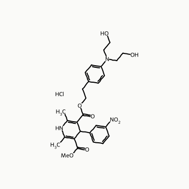 COC(=O)C1=C(C)NC(C)=C(C(=O)OCCc2ccc(N(CCO)CCO)cc2)C1c1cccc([N+](=O)[O-])c1.Cl